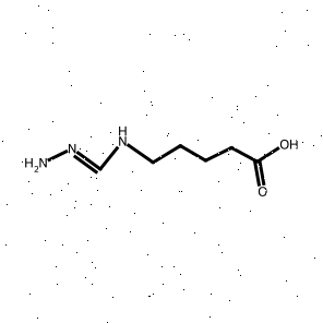 NN=CNCCCCC(=O)O